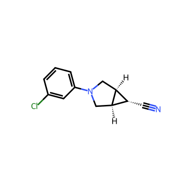 N#C[C@@H]1[C@H]2CN(c3cccc(Cl)c3)C[C@@H]12